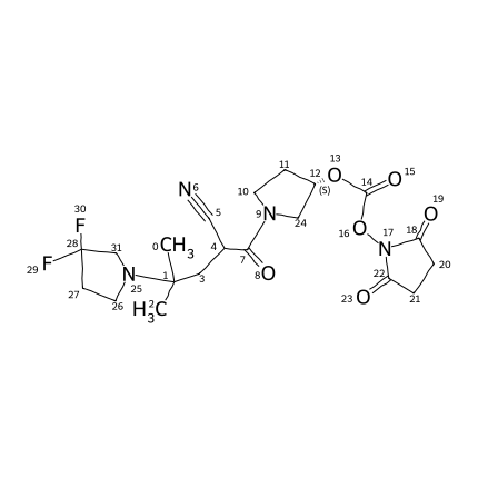 CC(C)(CC(C#N)C(=O)N1CC[C@H](OC(=O)ON2C(=O)CCC2=O)C1)N1CCC(F)(F)C1